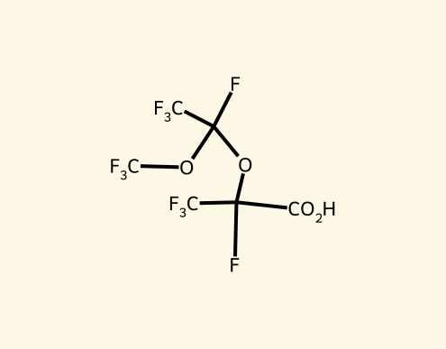 O=C(O)C(F)(OC(F)(OC(F)(F)F)C(F)(F)F)C(F)(F)F